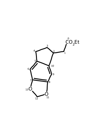 CCOC(=O)CC1CCc2cc3c(cc21)OCO3